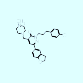 CN1CCN(Cc2cc(-c3ccc4c(c3)CCO4)nn(CCCc3ccc(Cl)cc3)c2=O)CC1